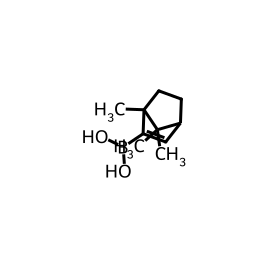 CC12CCC(C=C1B(O)O)C2(C)C